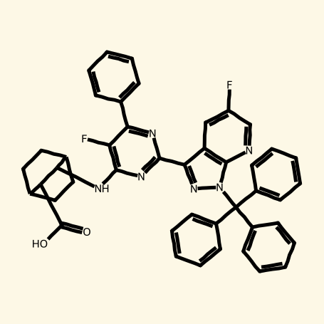 O=C(O)C1C2CCC(CC2)C1Nc1nc(-c2nn(C(c3ccccc3)(c3ccccc3)c3ccccc3)c3ncc(F)cc23)nc(-c2ccccc2)c1F